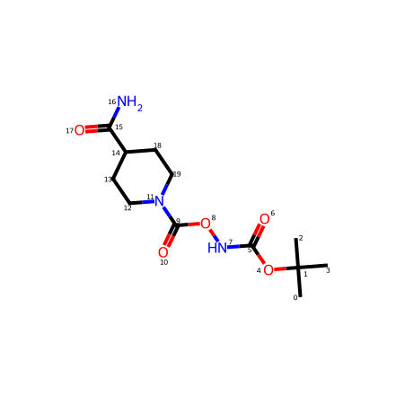 CC(C)(C)OC(=O)NOC(=O)N1CCC(C(N)=O)CC1